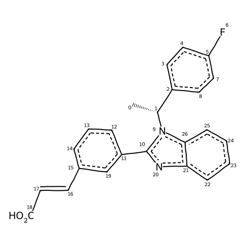 C[C@H](c1ccc(F)cc1)n1c(-c2cccc(C=CC(=O)O)c2)nc2ccccc21